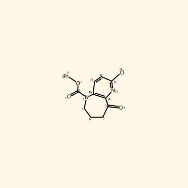 CC(C)OC(=O)N1CCCC(=O)c2nc(Cl)ccc21